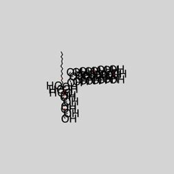 CCCCCCCCCCCCCCC(O)C(O)(O)C(O)(O)C(=O)O.OCC(O)CO.OCC(O)CO.OCC(O)CO.OCC(O)CO.OCC(O)CO.OCC(O)CO.OCC(O)CO.OCC(O)CO.OCC(O)CO.OCC(O)CO